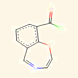 O=C(Cl)c1cccc2c1OC=CN=C2